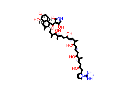 CC1=C[C@H]2[C@H](O)[C@H](O)CC[C@H]2[C@@](C)(C(=O)C2=C(O)CNC2=O)[C@@H]1CCC(C)C(O)/C(C)=C/CC(O)/C=C/C(C)C(O)/C=C/CC(O)/C(C)=C/CC(O)CC1CCCN1C(=N)N